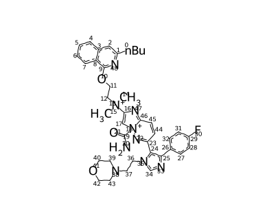 CCCCc1cc2ccccc2c(OCC[N+](C)(C)C2=C[N+]3(C(N)=O)N=C(c4c(-c5ccc(F)cc5)ncn4CCN4CCOCC4)C=CC3=N2)n1